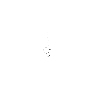 Cc1cc2c(s1)SCCN(CCCCCCCl)C2=O